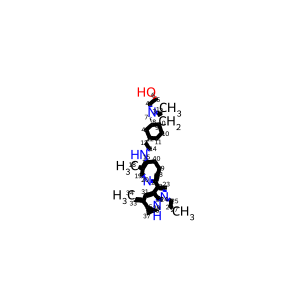 C=C(C)N(CCO)C[C@@H]1CCC[C@H](CCN/C2=C(C)/C=N\C(C3=CN(CCC)C(=N)/C3=C\C(=C/C)C3CC3)=C/CC2)C1